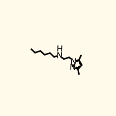 CCCCCCNCCn1nc(C)cc1C